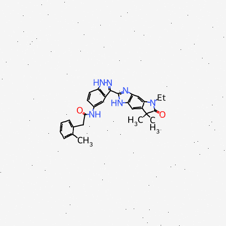 CCN1C(=O)C(C)(C)c2cc3[nH]c(-c4n[nH]c5ccc(NC(=O)Cc6ccccc6C)cc45)nc3cc21